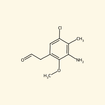 COc1c(CC=O)cc(Cl)c(C)c1N